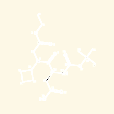 CCOC(=O)CN(C(=O)[C@H](CC(=O)O)NC(=O)OC(C)(C)C)C1CCC1